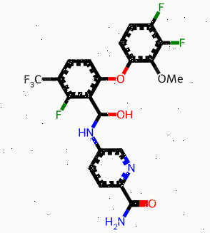 COc1c(Oc2ccc(C(F)(F)F)c(F)c2C(O)Nc2ccc(C(N)=O)nc2)ccc(F)c1F